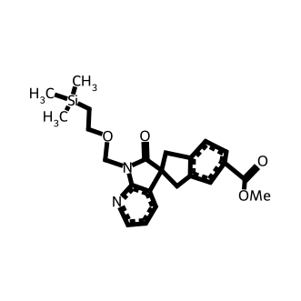 COC(=O)c1ccc2c(c1)CC1(C2)C(=O)N(COCC[Si](C)(C)C)c2ncccc21